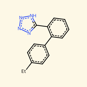 CCc1ccc(-c2ccccc2-c2nnn[nH]2)cc1